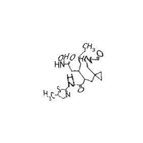 CCCCC(CC(=O)NO)C(CC1(CNC=O)CC1)C(=O)NC1=NCC(C)S1